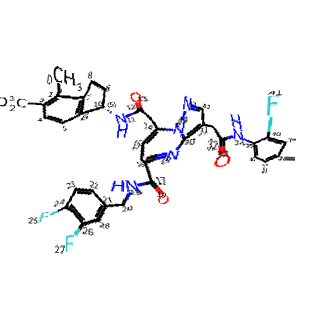 Cc1c(C(=O)O)ccc2c1CC[C@@H]2NC(=O)c1cc(C(=O)NCc2ccc(F)c(F)c2)nc2c(C(=O)Nc3ccccc3F)cnn12